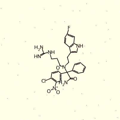 N=C(N)NCCC(=O)N(CCc1c[nH]c2cc(F)ccc12)C(C(N)=O)(c1ccccc1)c1ccc(Cl)c([N+](=O)[O-])c1